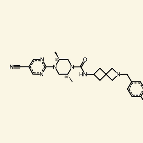 C[C@@H]1CN(c2ncc(C#N)cn2)[C@@H](C)CN1C(=O)NC1CC2(C1)CN(Cc1ccc(F)cc1)C2